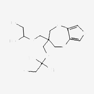 CC(CO)OCC1(COC(C)(C)CO)COc2cscc2OC1